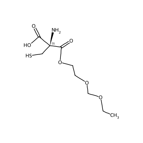 CCOCOCCOC(=O)[C@](N)(CS)C(=O)O